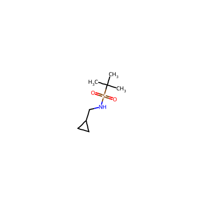 CC(C)(C)S(=O)(=O)NCC1CC1